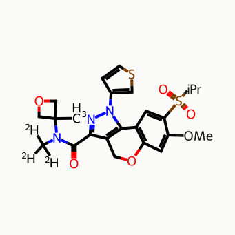 [2H]C([2H])([2H])N(C(=O)c1nn(-c2ccsc2)c2c1COc1cc(OC)c(S(=O)(=O)C(C)C)cc1-2)C1(C)COC1